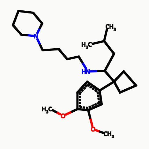 COc1ccc(C2(C(CC(C)C)NCCCCN3CCCCC3)CCC2)cc1OC